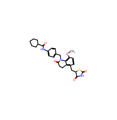 COc1ccc(CC2SC(=O)NC2=O)c2c1N(Cc1ccc(NC(=O)C3CCCCC3)cc1)C(=O)CC2